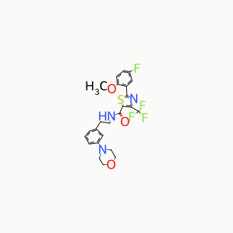 COc1ccc(F)cc1-c1nc(C(F)(F)F)c(C(=O)NCCc2cccc(N3CCOCC3)c2)s1